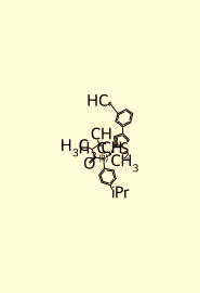 C#Cc1cccc(-c2csc(C(C)(C)[C@H](C(=O)C(C)C(=C)C)c3ccc(C(C)C)cc3)c2)c1